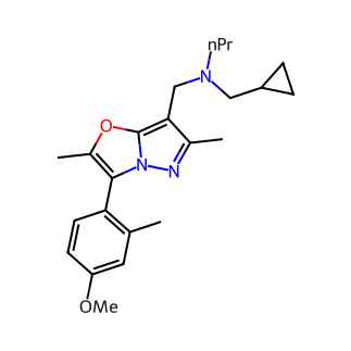 CCCN(Cc1c(C)nn2c(-c3ccc(OC)cc3C)c(C)oc12)CC1CC1